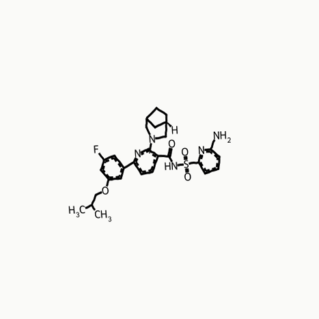 CC(C)COc1cc(F)cc(-c2ccc(C(=O)NS(=O)(=O)c3cccc(N)n3)c(N3CC4CC[C@@H](C4)C3)n2)c1